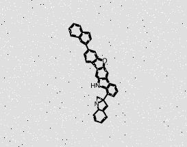 C1=CC2=CC3(c4cccc5c4[nH]c4cc6c(cc45)oc4cc(-c5ccc7ccccc7c5)ccc46)C[N@]3C2C=C1